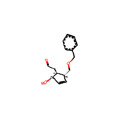 O=CC[C@@H]1[C@H](O)C=C[C@H]1COCc1ccccc1